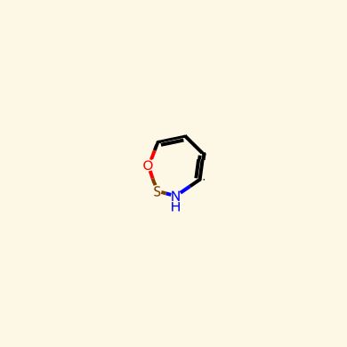 [c]1cccos[nH]1